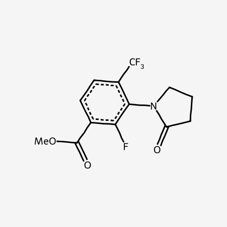 COC(=O)c1ccc(C(F)(F)F)c(N2CCCC2=O)c1F